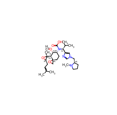 CO[C@@H]1[C@H](N(C(=O)O)[C@H](c2cn(C[C@H]3CCCN3C)cn2)C(C)C)CC[C@]2(CO2)[C@H]1[C@@]1(C)O[C@@H]1CC=C(C)C